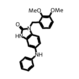 COc1cccc(Cn2c(=O)[nH]c3cc(Nc4ccccc4)ccc32)c1OC